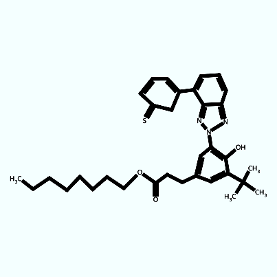 CCCCCCCCOC(=O)CCc1cc(-n2nc3cccc(C4=CC=CC(=S)C4)c3n2)c(O)c(C(C)(C)C)c1